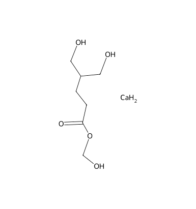 O=C(CCC(CO)CO)OCO.[CaH2]